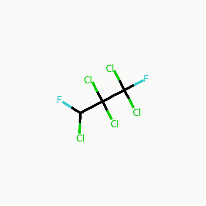 F[C](Cl)C(Cl)(Cl)C(F)(Cl)Cl